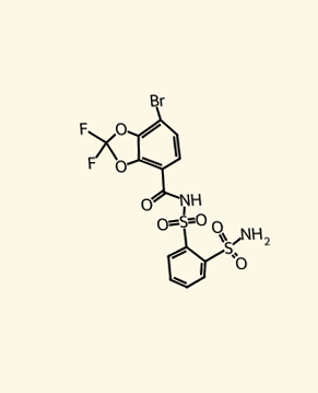 NS(=O)(=O)c1ccccc1S(=O)(=O)NC(=O)c1ccc(Br)c2c1OC(F)(F)O2